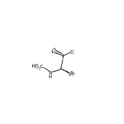 CC(C)C(NC(=O)O)C(=O)Cl